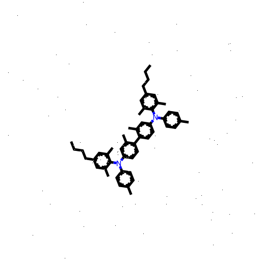 CCCCc1cc(C)c(N(c2ccc(C)cc2)c2ccc(-c3ccc(N(c4ccc(C)cc4)c4c(C)cc(CCCC)cc4C)cc3C)c(C)c2)c(C)c1